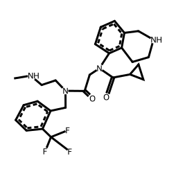 CNCCN(Cc1ccccc1C(F)(F)F)C(=O)CN(C(=O)C1CC1)c1cccc2c1CCNC2